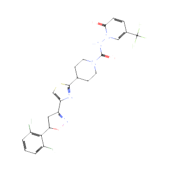 O=C(Nn1cc(C(F)(F)F)ccc1=O)N1CCC(c2nc(C3=NOC(c4c(Cl)cccc4Cl)C3)cs2)CC1